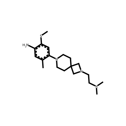 CSc1cc(N2CCC3(CC2)CN(CCN(C)C)C3)c(C)cc1N